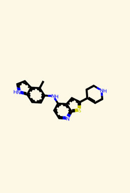 Cc1c(Nc2ccnc3sc(C4=CCNCC4)cc23)ccc2[nH]ccc12